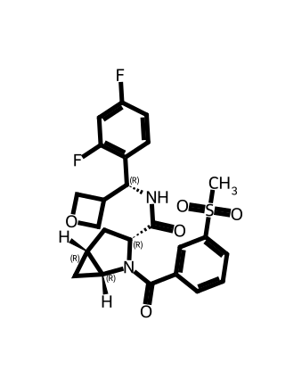 CS(=O)(=O)c1cccc(C(=O)N2[C@@H](C(=O)N[C@@H](c3ccc(F)cc3F)C3COC3)C[C@H]3C[C@H]32)c1